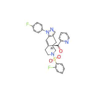 O=C(c1ccccn1)[C@]12Cc3cnn(-c4ccc(F)cc4)c3C=C1CCN(S(=O)(=O)c1ccccc1F)C2